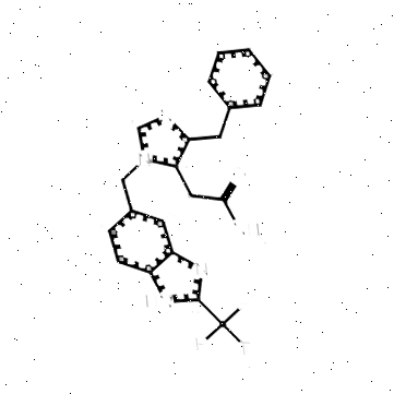 NC(=O)Cc1c(Cc2ccccc2)ncn1Cc1ccc2[nH]c(C(F)(F)F)nc2c1